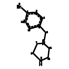 Brc1ccc(CN2CCNCC2)cn1